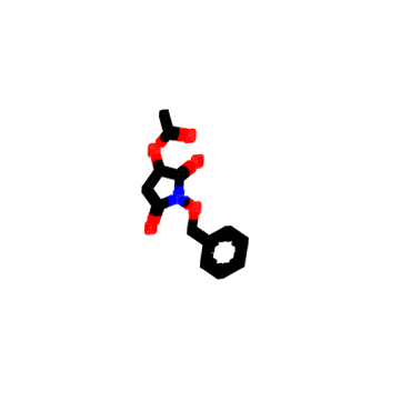 CC(=O)OC1CC(=O)N(OCc2ccccc2)C1=O